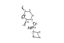 C[C@H]1CC[C@H](OPC2CCC2)[C@@H](I)O1